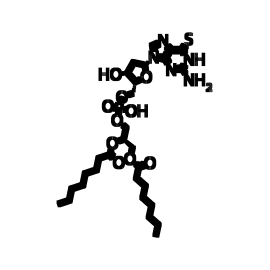 CCCCCCCC(=O)OC[C@H](COP(=O)(O)OC[C@H]1O[C@@H](n2cnc3c(=S)[nH]c(N)nc32)C[C@@H]1O)OC(=O)CCCCCCC